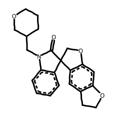 O=C1N(CC2CCCOC2)c2ccccc2C12COc1cc3c(cc12)CCO3